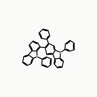 c1ccc(-c2cc3c(cc2-c2cccc4c5ccccc5n(-c5ccccc5)c24)c2ccccc2n3-c2ccccc2)cc1